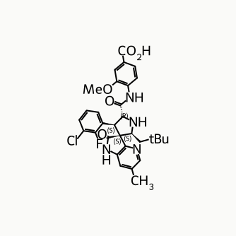 COc1cc(C(=O)O)ccc1NC(=O)[C@@H]1N[C@@H](CC(C)(C)C)[C@@]2(C(=O)Nc3cc(C)cnc32)[C@H]1c1cccc(Cl)c1F